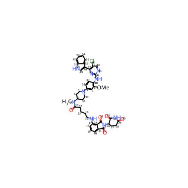 COc1cc(N2CCC(N(C)C(=O)CCCCNc3cccc4c3C(=O)N(C3CCC(=O)NC3=O)C4=O)CC2)ccc1Nc1ncc(Cl)c(-c2c[nH]c3ccccc23)n1